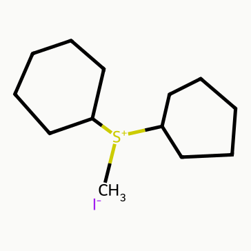 C[S+](C1CCCCC1)C1CCCCC1.[I-]